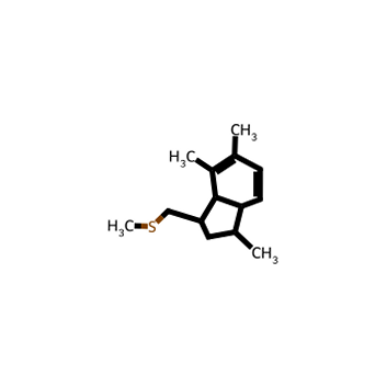 CSCC1CC(C)C2C=CC(C)=C(C)C12